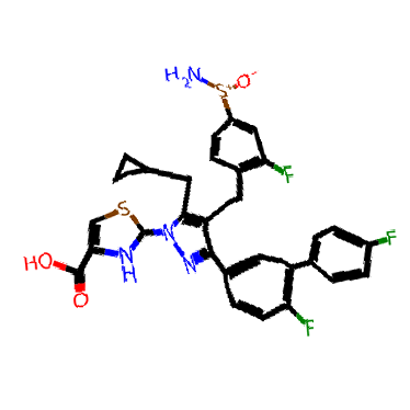 N[S+]([O-])c1ccc(Cc2c(-c3ccc(F)c(-c4ccc(F)cc4)c3)nn(C3NC(C(=O)O)=CS3)c2CC2CC2)c(F)c1